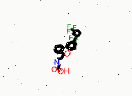 CN(CCC(Oc1ccc(C(F)(F)c2cccc(C(F)(F)F)c2)cc1)c1ccccc1)CC(=O)O